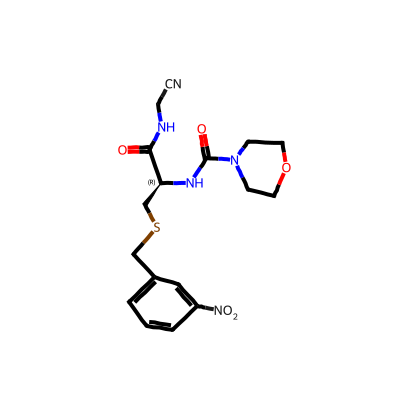 N#CCNC(=O)[C@H](CSCc1cccc([N+](=O)[O-])c1)NC(=O)N1CCOCC1